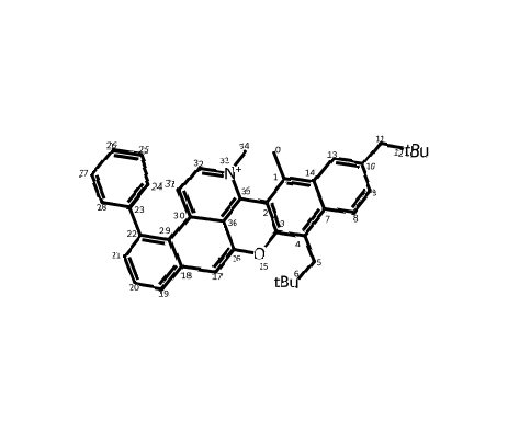 Cc1c2c(c(CC(C)(C)C)c3ccc(CC(C)(C)C)cc13)Oc1cc3cccc(-c4ccccc4)c3c3cc[n+](C)c-2c13